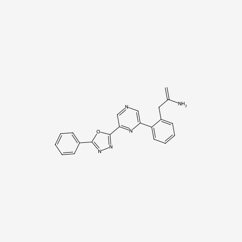 C=C(N)Cc1ccccc1-c1cncc(-c2nnc(-c3ccccc3)o2)n1